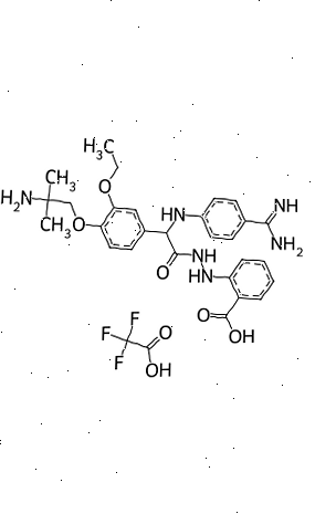 CCOc1cc(C(Nc2ccc(C(=N)N)cc2)C(=O)NNc2ccccc2C(=O)O)ccc1OCC(C)(C)N.O=C(O)C(F)(F)F